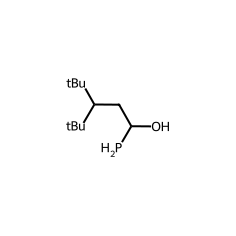 CC(C)(C)C(CC(O)P)C(C)(C)C